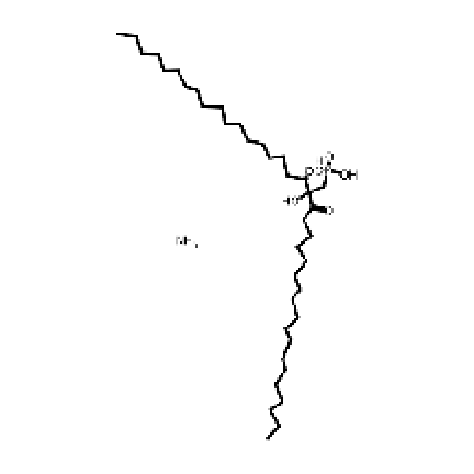 CCCCCCCCCCCCCCCCCC(=O)C(O)(CP(=O)(O)O)C(=O)CCCCCCCCCCCCCCCCC.N